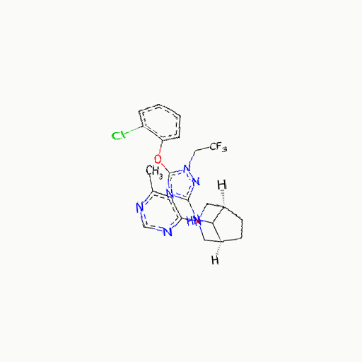 Cc1cc(N2C[C@H]3CC[C@@H](C2)C3Nc2nc(Oc3ccccc3Cl)n(CC(F)(F)F)n2)ncn1